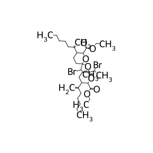 C=C(CCCCC)C1CCC(OC2(C(C)Br)CCC(C(=C)CCCCC)C(C(=O)OCC)O2)(C(C)Br)OC1C(=O)OCC